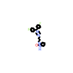 O=c1[nH]c2ccccc2n1CCCCN1CCN(C(c2ccc(F)cc2)c2ccc(F)cc2)CC1